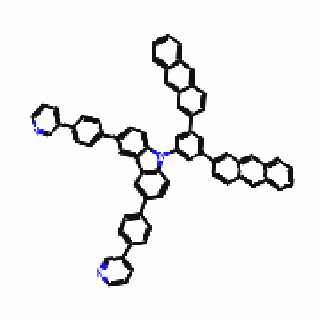 c1cncc(-c2ccc(-c3ccc4c(c3)c3cc(-c5ccc(-c6cccnc6)cc5)ccc3n4-c3cc(-c4ccc5cc6ccccc6cc5c4)cc(-c4ccc5cc6ccccc6cc5c4)c3)cc2)c1